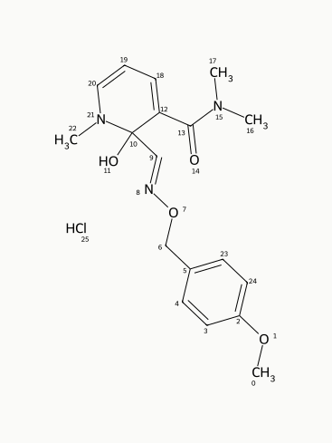 COc1ccc(CON=CC2(O)C(C(=O)N(C)C)=CC=CN2C)cc1.Cl